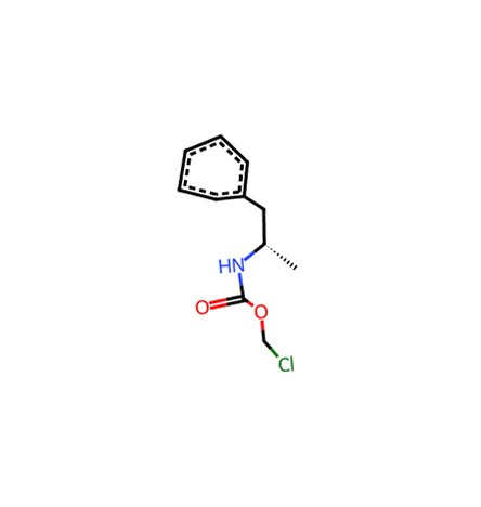 C[C@@H](Cc1ccccc1)NC(=O)OCCl